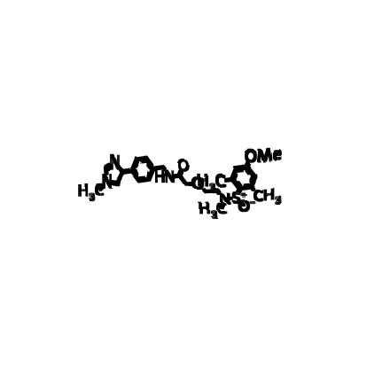 COc1cc(C)c([S+]([O-])N(C)CCOCC(=O)NCc2ccc(C3CN(C)C=N3)cc2)c(C)c1